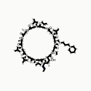 C/C=C/C[C@@H](C)[C@@H](O)[C@H]1C(=O)N[C@@H](CC)C(=O)N(C)[C@H](COCCCN2CCCCC2)C(=O)N(C)[C@@H](CC(C)C)C(=O)N[C@@H](C(C)C)C(=O)N(C)[C@@H](CC(C)C)C(=O)N[C@@H](C)C(=O)N[C@H](C)C(=O)N(C)[C@@H](CC(C)C)C(=O)N(C)[C@@H](CC(C)C)C(=O)N(C)[C@@H](C(C)C)C(=O)N1C